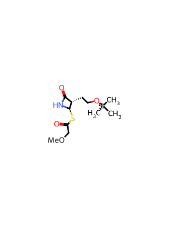 COCC(=O)S[C@H]1NC(=O)[C@@H]1CCO[Si](C)(C)C